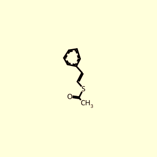 CC(=O)SC=Cc1ccccc1